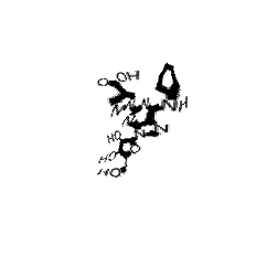 O=C(O)c1cnn(-c2nc(NC3CCCCC3)c3ncn(C4O[C@H](CO)[C@@H](O)[C@@H]4O)c3n2)c1